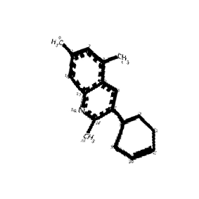 Cc1cc(C)c2cc(C3CC=CCC3)c(C)nc2c1